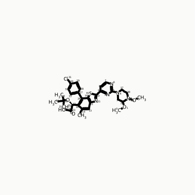 COC1CN(c2nccc(-c3nc4cc(C)c([C@H](OC(C)(C)C)C(=O)O)c(-c5ccc(Cl)cc5)c4s3)n2)CCN1OC